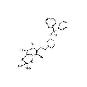 [2H]c1c([2H])c2c(c([2H])c1CCN1CCC[C@@H](OC([2H])(c3ccccc3)c3ccccc3)C1)OC([2H])([2H])O2